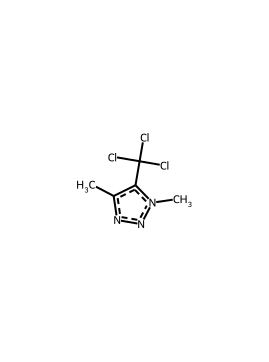 Cc1nnn(C)c1C(Cl)(Cl)Cl